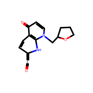 O=C=C1C=Cc2c(n(CC3CCCO3)ccc2=O)N1